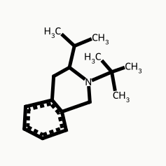 CC(C)C1Cc2ccccc2CN1C(C)(C)C